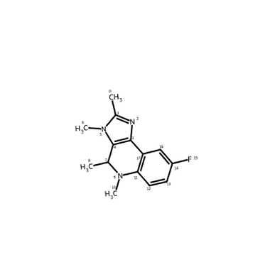 Cc1nc2c(n1C)C(C)N(C)c1ccc(F)cc1-2